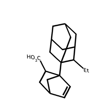 CCC1C2CC3CC(C2)CC1(C12C=CC(CC1C(=O)O)C2)C3